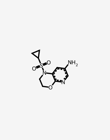 Nc1cnc2c(c1)N(S(=O)(=O)C1CC1)CCO2